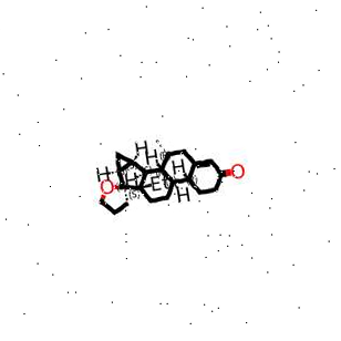 CC[C@]12CC[C@H]3[C@H]([C@@H]1[C@@H]1C[C@@H]1[C@@]21CCCO1)[C@H](C)CC1=CC(=O)CC[C@@H]13